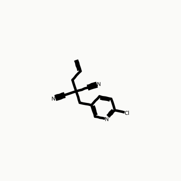 C=CCC(C#N)(C#N)Cc1ccc(Cl)nc1